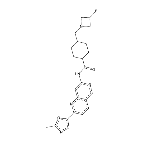 Cc1ncc(-c2ccc3cnc(NC(=O)C4CCC(CN5CC(F)C5)CC4)cc3n2)o1